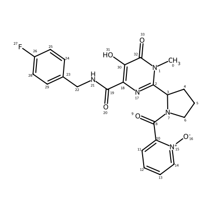 Cn1c(C2CCCN2C(=O)c2cccc[n+]2[O-])nc(C(=O)NCc2ccc(F)cc2)c(O)c1=O